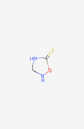 S=C1NCNO1